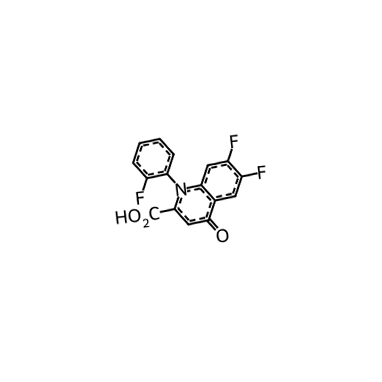 O=C(O)c1cc(=O)c2cc(F)c(F)cc2n1-c1ccccc1F